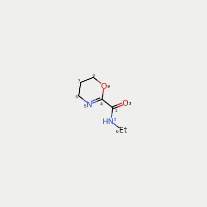 CCNC(=O)C1=NCCCO1